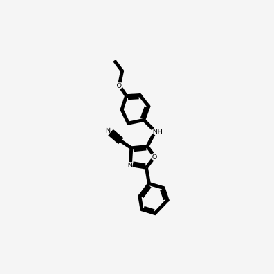 CCOC1=CC=C(Nc2oc(-c3ccccc3)nc2C#N)CC1